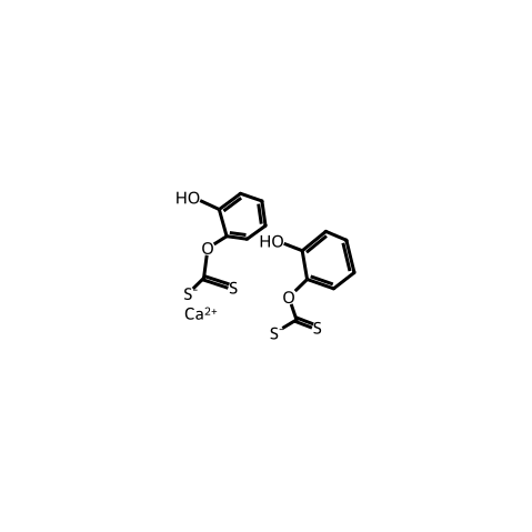 Oc1ccccc1OC(=S)[S-].Oc1ccccc1OC(=S)[S-].[Ca+2]